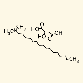 CCCCCCCCCCCCCCCCN(C)C.O=C(O)CC(O)C(=O)O